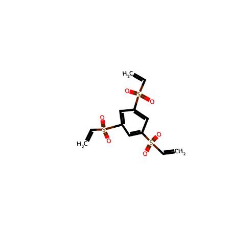 C=CS(=O)(=O)c1cc(S(=O)(=O)C=C)cc(S(=O)(=O)C=C)c1